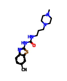 CN1CCN(CCCNC(=O)Nc2nc3ccc(C#N)cc3s2)CC1